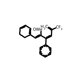 C=C(/C=C(\C(=C\C1=CC=CCC1)OC)c1ccccc1)C(F)(F)F